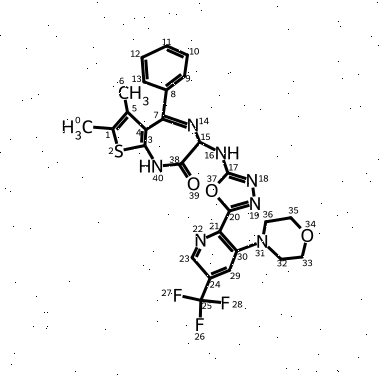 Cc1sc2c(c1C)C(c1ccccc1)=NC(Nc1nnc(-c3ncc(C(F)(F)F)cc3N3CCOCC3)o1)C(=O)N2